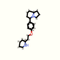 c1cc(C2CCCC3CCCN32)ccc1OCCC1CCCCN1